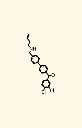 C=CCCNCc1ccc(-c2ccc(C(=O)c3ccc(Cl)c(Cl)c3)cc2)cc1